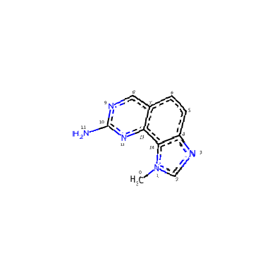 Cn1cnc2ccc3cnc(N)nc3c21